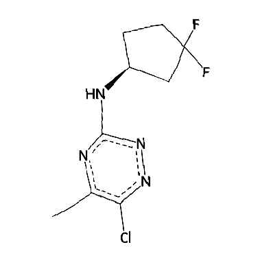 Cc1nc(N[C@H]2CCC(F)(F)C2)nnc1Cl